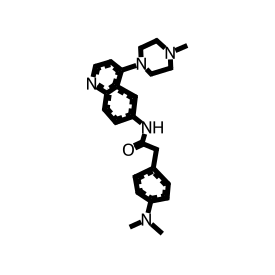 CN1CCN(c2ccnc3ccc(NC(=O)Cc4ccc(N(C)C)cc4)cc23)CC1